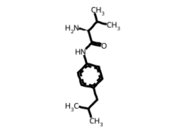 CC(C)Cc1ccc(NC(=O)[C@@H](N)C(C)C)cc1